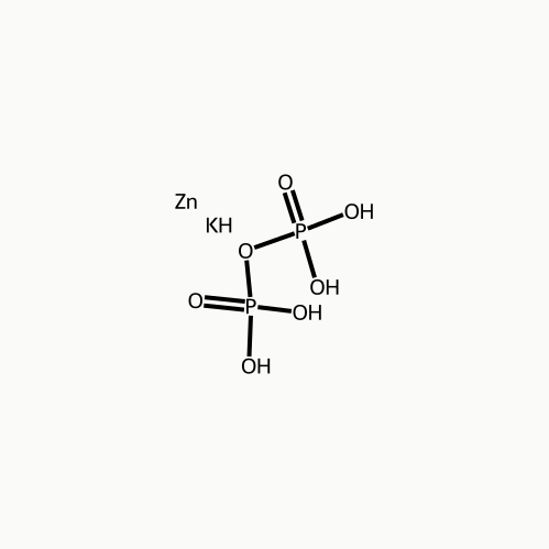 O=P(O)(O)OP(=O)(O)O.[KH].[Zn]